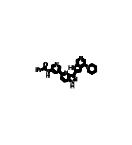 CC(C)C(=O)Nc1cncc(-c2ccc3[nH]nc(-c4cc5c(N6CCCCC6)cncc5[nH]4)c3n2)c1